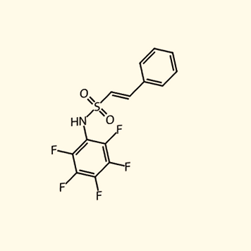 O=S(=O)(C=Cc1ccccc1)Nc1c(F)c(F)c(F)c(F)c1F